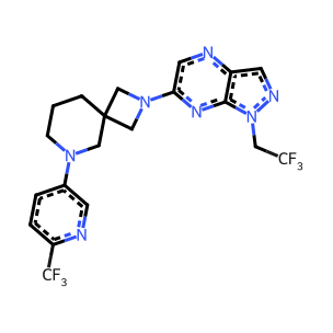 FC(F)(F)Cn1ncc2ncc(N3CC4(CCCN(c5ccc(C(F)(F)F)nc5)C4)C3)nc21